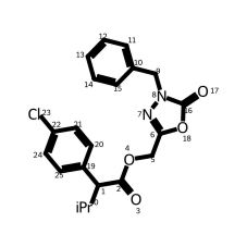 CC(C)C(C(=O)OCc1nn(Cc2ccccc2)c(=O)o1)c1ccc(Cl)cc1